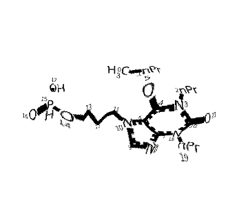 CCCC.CCCn1c(=O)c2c(ncn2CCCO[PH](=O)O)n(CCC)c1=O